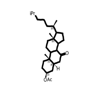 CC(=O)O[C@H]1CC[C@]2(C)C3CC[C@@]4(C)C(CCC4[C@H](C)CCCC(C)C)C3C(=O)C[C@H]2C1